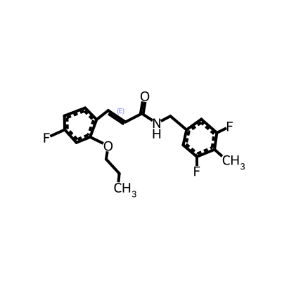 CCCOc1cc(F)ccc1/C=C/C(=O)NCc1cc(F)c(C)c(F)c1